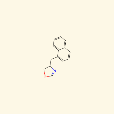 [C]1=NC(Cc2cccc3ccccc23)CO1